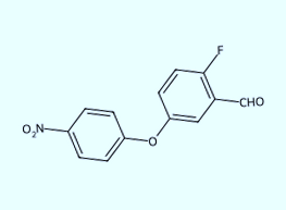 O=Cc1cc(Oc2ccc([N+](=O)[O-])cc2)ccc1F